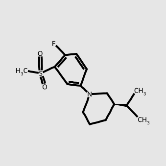 CC(C)[C@H]1CCCN(c2ccc(F)c(S(C)(=O)=O)c2)C1